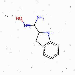 N/C(=N\O)C1Cc2ccccc2N1